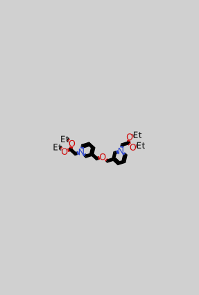 CCOC(CN1C=CC=C(COCC2=CC=CN(CC(OCC)OCC)C2)C1)OCC